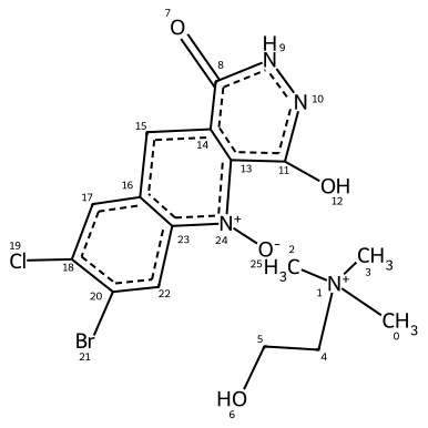 C[N+](C)(C)CCO.O=c1[nH]nc(O)c2c1cc1cc(Cl)c(Br)cc1[n+]2[O-]